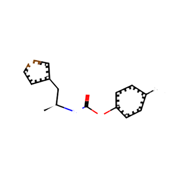 C[C@@H](Cc1ccsc1)NC(=O)Oc1ccc([N+](=O)[O-])cc1